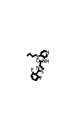 CCCCSc1ccncc1NC(=O)c1csc(-c2c(F)cccc2F)n1